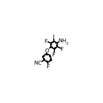 N#Cc1cc(Oc2c(F)c(F)c(N)c(I)c2F)ccc1F